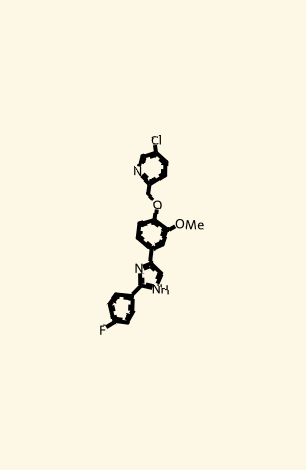 COc1cc(-c2c[nH]c(-c3ccc(F)cc3)n2)ccc1OCc1ccc(Cl)cn1